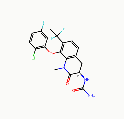 CN1C(=O)[C@H](NC(N)=O)Cc2ccc(C(C)(F)F)c(Oc3cc(F)ccc3Cl)c21